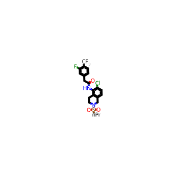 CCCS(=O)(=O)N1CCc2c(ccc(Cl)c2NC(=O)Cc2ccc(C(F)(F)F)c(F)c2)C1